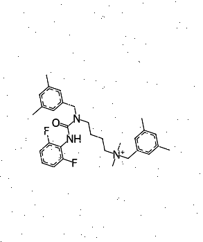 Cc1cc(C)cc(CN(CCCC[N+](C)(C)Cc2cc(C)cc(C)c2)C(=O)Nc2c(F)cccc2F)c1